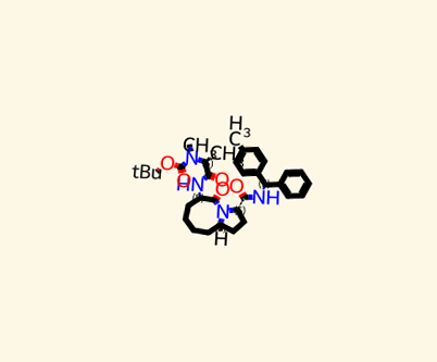 Cc1ccc([C@@H](NC(=O)[C@@H]2CC[C@@H]3CCCC[C@H](NC(=O)[C@H](C)N(C)C(=O)OC(C)(C)C)C(=O)N32)c2ccccc2)cc1